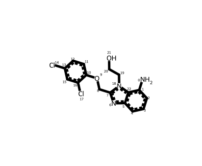 Nc1cccc2nc(COc3ccc(Cl)cc3Cl)n(CCO)c12